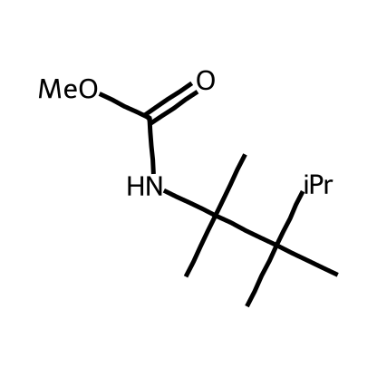 COC(=O)NC(C)(C)C(C)(C)C(C)C